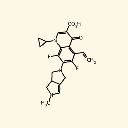 C=Cc1c(F)c(N2CC3=CN(C)CC3C2)c(F)c2c1c(=O)c(C(=O)O)cn2C1CC1